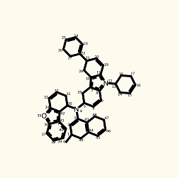 CC1C=C(N(C2C=Cc3c(c4c(n3C3CC=CCC3)C=CC(C3=CC=CCC3)C4)C2)C2CC=Cc3oc4ccccc4c32)C2=C(C=CCC2)C1